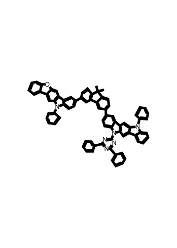 CC1(C)c2ccc(-c3ccc4c(c3)c3cc5oc6ccccc6c5cc3n4-c3ccccc3)cc2-c2cc(-c3ccc4c(c3)c3cc5c(cc3n4-c3nc(-c4ccccc4)nc(-c4ccccc4)n3)c3ccccc3n5-c3ccccc3)ccc21